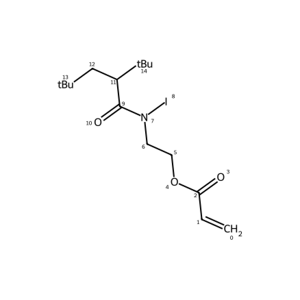 C=CC(=O)OCCN(I)C(=O)C(CC(C)(C)C)C(C)(C)C